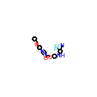 N#Cc1ccc(NC2CCC(OCC(=O)N3CCN(c4ccc(OCc5ccccc5)cc4)CC3)CC2)cc1C(F)(F)F